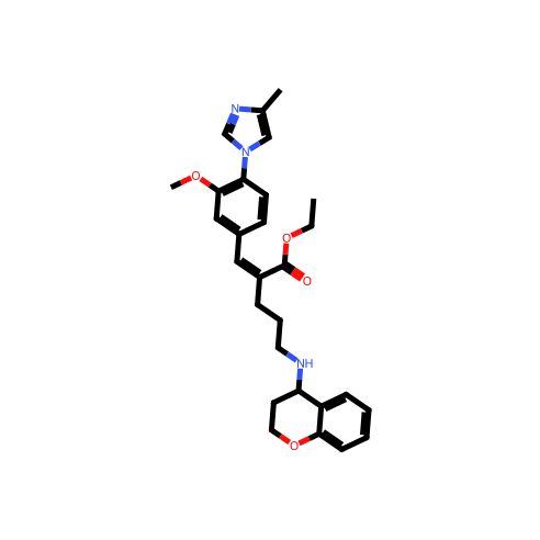 CCOC(=O)/C(=C\c1ccc(-n2cnc(C)c2)c(OC)c1)CCCNC1CCOc2ccccc21